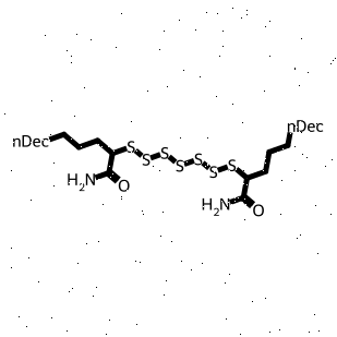 CCCCCCCCCCCCCC(SSSSSSSC(CCCCCCCCCCCCC)C(N)=O)C(N)=O